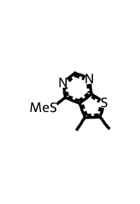 [CH2]Sc1ncnc2sc(C)c(C)c12